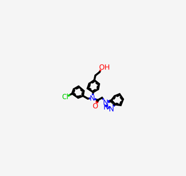 O=C(Cn1nnc2ccccc21)N(Cc1cccc(Cl)c1)c1ccc(CCO)cc1